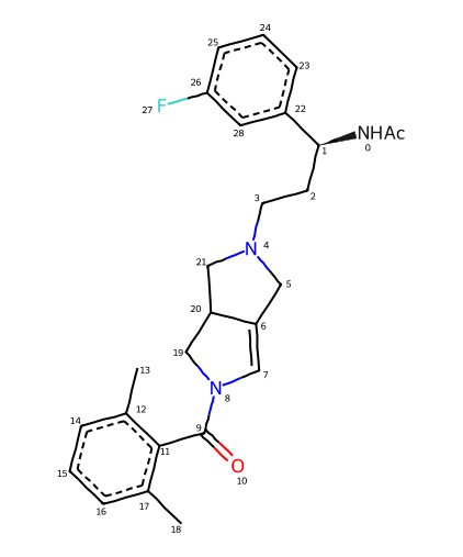 CC(=O)N[C@@H](CCN1CC2=CN(C(=O)c3c(C)cccc3C)CC2C1)c1cccc(F)c1